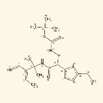 C/C=C(/C=N)C(C)(C)NC(=O)C(CNC(=O)OC(C)(C)C)c1ccc(CO)s1